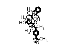 Cc1cc(-c2scnc2C)ccc1C(C)NC(=O)C1CC(O)CN1C(O)C(C(C)C)N1Cc2ccccc2C1=O